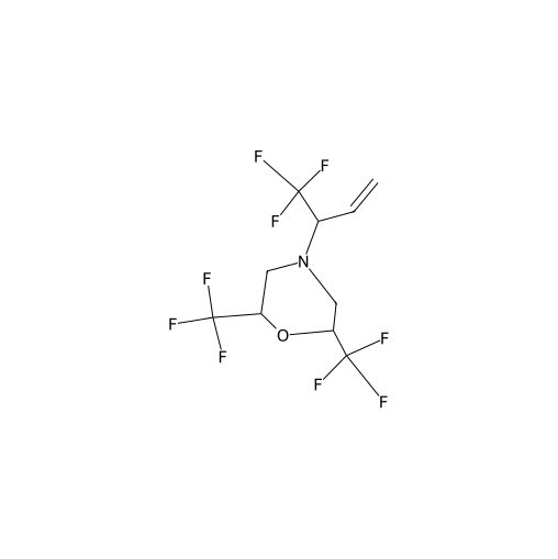 C=CC(N1CC(C(F)(F)F)OC(C(F)(F)F)C1)C(F)(F)F